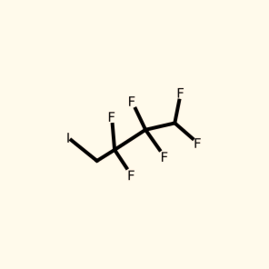 FC(F)C(F)(F)C(F)(F)CI